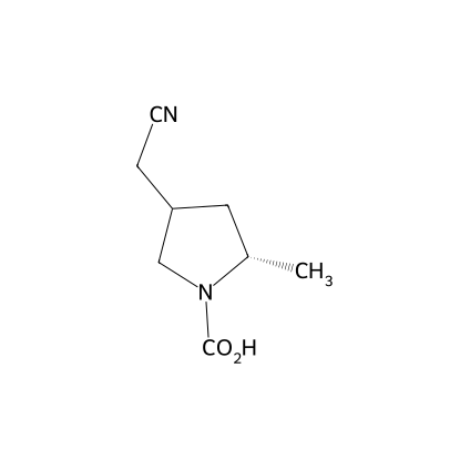 C[C@H]1CC(CC#N)CN1C(=O)O